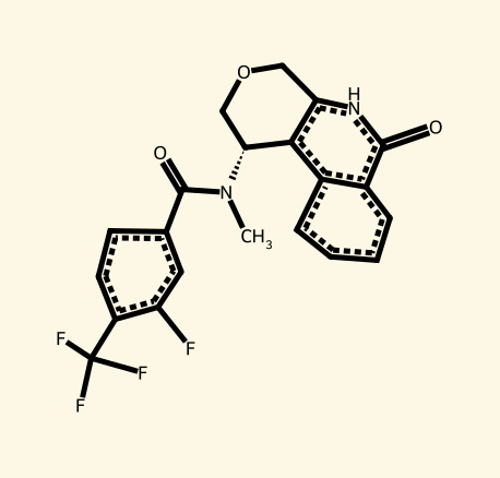 CN(C(=O)c1ccc(C(F)(F)F)c(F)c1)[C@@H]1COCc2[nH]c(=O)c3ccccc3c21